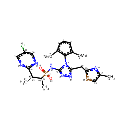 COc1cccc(OC)c1-n1c(Cc2nc(C)cs2)nnc1NS(=O)(=O)[C@@H](C)[C@H](C)c1ncc(Cl)cn1